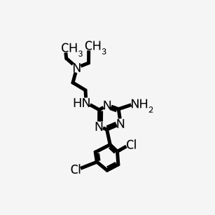 CCN(CC)CCNc1nc(N)nc(-c2cc(Cl)ccc2Cl)n1